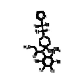 [2H]c1c([2H])c([2H])c(N(C(=O)CC)C2(OC)CCN(C([2H])([2H])C([2H])([2H])c3cccs3)CC2)c([2H])c1[2H]